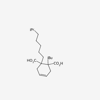 CCC(C)C1(C(=O)O)CC=CCC1(CCCCCC(C)C)C(=O)O